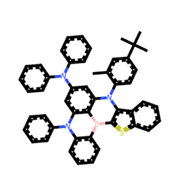 Cc1cc(C(C)(C)C)ccc1N1c2cc(N(c3ccccc3)c3ccccc3)cc3c2B(c2ccccc2N3c2ccccc2)c2sc3ccccc3c21